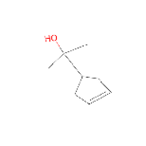 CC(C)(O)C1CC=CC1